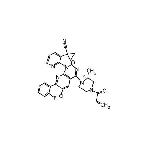 C=CC(=O)N1CCN(c2nc(=O)n(-c3ncccc3C3(C#N)CC3)c3nc(-c4ccccc4F)c(Cl)cc23)[C@@H](C)C1